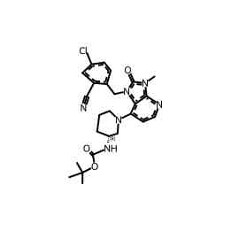 Cn1c(=O)n(Cc2ccc(Cl)cc2C#N)c2c(N3CCC[C@@H](NC(=O)OC(C)(C)C)C3)ccnc21